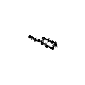 O=C(NCCCN1CCOCC1)C(=O)NNc1ccc(NS(=O)(=O)c2cccc(NOCc3ccc[n+](CCCC[n+]4cccc(C(=O)Nc5cccc(S(=O)(=O)Nc6ccc(NNC(=O)C(=O)NCCCN7CCOCC7)cc6)c5)c4)c3)c2)cc1